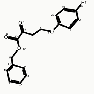 CCc1ccc(OCCC(=O)C(=O)OCc2ccccc2)cc1